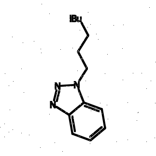 CCC(C)CCCn1nnc2ccccc21